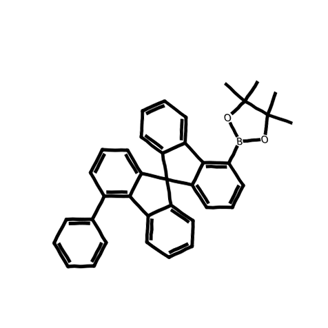 CC1(C)OB(c2cccc3c2-c2ccccc2C32c3ccccc3-c3c(-c4ccccc4)cccc32)OC1(C)C